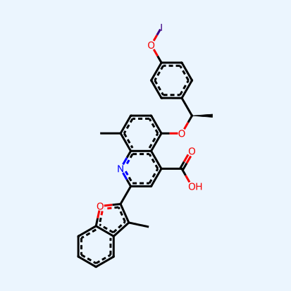 Cc1c(-c2cc(C(=O)O)c3c(O[C@H](C)c4ccc(OI)cc4)ccc(C)c3n2)oc2ccccc12